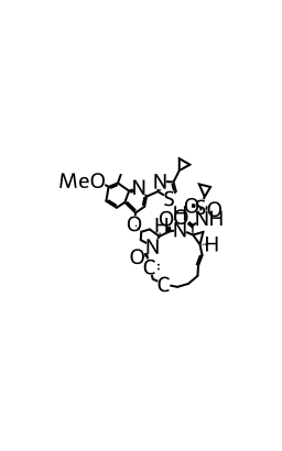 COc1ccc2c(O[C@@H]3C[C@H]4C(=O)N[C@]5(C(=O)NS(=O)(=O)C6CC6)C[C@H]5/C=C/CCCCC[C]C(=O)N4C3)cc(-c3nc(C4CC4)cs3)nc2c1C